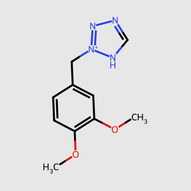 COc1ccc(C[n+]2nnc[nH]2)cc1OC